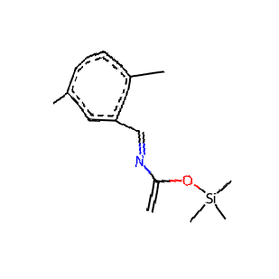 C=C(/N=C/c1cc(C)ccc1C)O[Si](C)(C)C